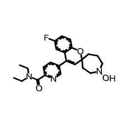 CCN(CC)C(=O)c1ccc(C2=CC3(CCCN(O)CC3)Oc3ccc(F)cc32)cn1